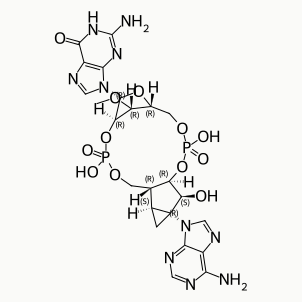 CO[C@H]1[C@H]2OP(=O)(O)OC[C@@H]3[C@@H](OP(=O)(O)OC[C@H]1O[C@H]2n1cnc2c(=O)[nH]c(N)nc21)[C@@H](O)[C@@]1(n2cnc4c(N)ncnc42)C[C@@H]31